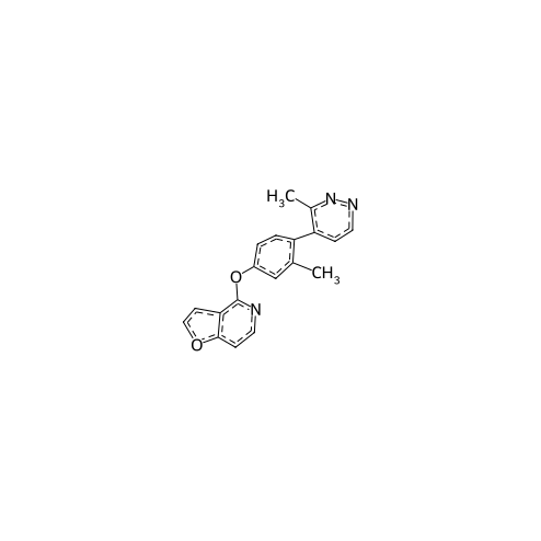 Cc1cc(Oc2nccc3occc23)ccc1-c1ccnnc1C